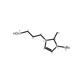 CCCCCCCCCCCN1C=CN(CCCC)C1C